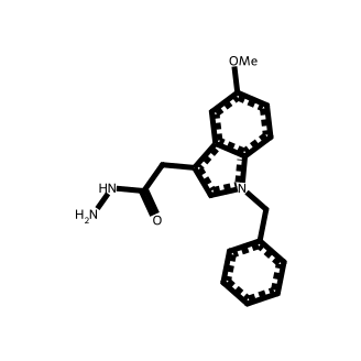 COc1ccc2c(c1)c(CC(=O)NN)cn2Cc1ccccc1